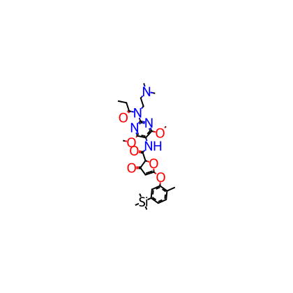 CCC(=O)N(CCN(C)C)c1nc(OC)c(NC(=O)C2OC(Oc3cc([Si](C)(C)C)ccc3C)=CC2=O)c(OC)n1